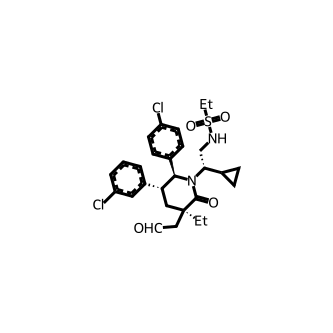 CC[C@]1(CC=O)C[C@H](c2cccc(Cl)c2)[C@@H](c2ccc(Cl)cc2)N([C@H](CNS(=O)(=O)CC)C2CC2)C1=O